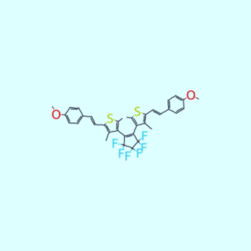 COc1ccc(C=Cc2sc(C)c(C3=C(c4c(C)sc(C=Cc5ccc(OC)cc5)c4C)C(F)(F)C(F)(F)C3(F)F)c2C)cc1